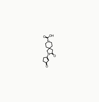 O=C1C=C(N2CC3(CCN(C(=O)O)CC3)CC2=O)CC1